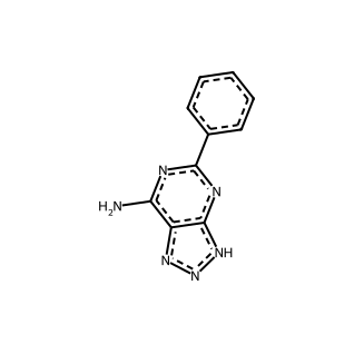 Nc1nc(-c2ccccc2)nc2[nH]nnc12